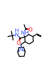 C=CC1CCC(CN2C3CCC2CC3)C(NC(C)=O)(C(=O)NC(C)(C)C)C1